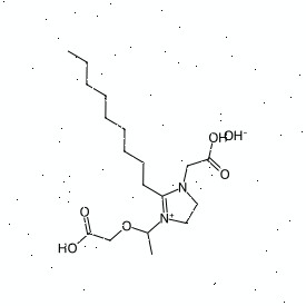 CCCCCCCCCC1=[N+](C(C)OCC(=O)O)CCN1CC(=O)O.[OH-]